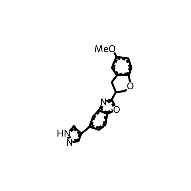 COc1ccc2c(c1)CC(c1nc3cc(-c4cn[nH]c4)ccc3o1)CO2